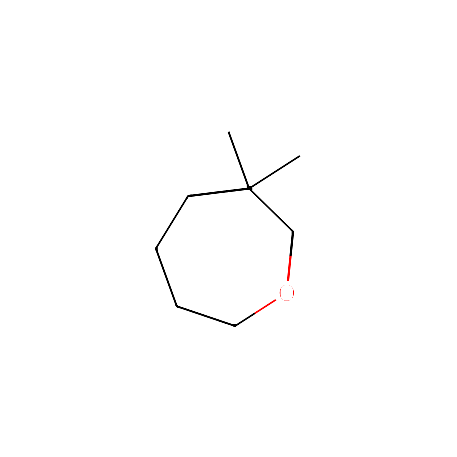 CC1(C)CCCCOC1